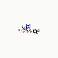 CC(C)(CF)C(O)C(CCOc1ccc(Cl)cc1)n1cncn1